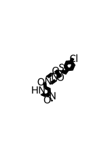 O=C(C1Cc2ncoc2CN1)N1CCN(S(=O)(=O)c2cc3ccc(Cl)cc3s2)CC1